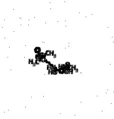 CCCC(CCC)(OCCCCCNCC(O)c1ccc(O)c(NS(C)(=O)=O)c1)OC(=O)c1ccccc1